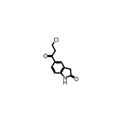 O=C1Cc2cc(C(=O)CCCl)ccc2N1